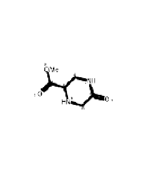 COC(=O)C1CNC(=O)CN1